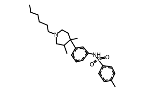 CCCCCCN1CCC(C)(c2cccc(NS(=O)(=O)c3ccc(C)cc3)c2)C(C)C1